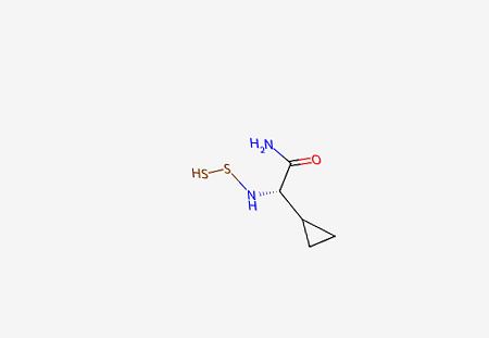 NC(=O)[C@@H](NSS)C1CC1